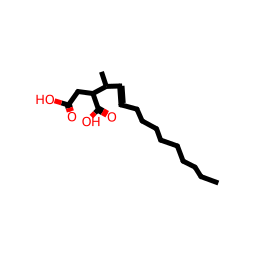 CCCCCCCCCC=CC(C)C(CC(=O)O)C(=O)O